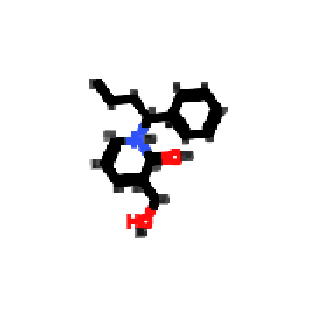 CCC[C@@H](c1ccccc1)n1cccc(CO)c1=O